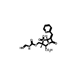 C[C@]1(COC(=O)NC=N)[C@H](C(=O)O)N2C(=O)/C(=C/c3ccccn3)[C@H]2S1(=O)=O